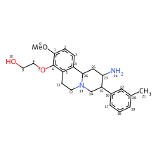 COc1ccc2c(c1OCCO)CCN1CC(c3cccc(C)c3)C(N)CC21